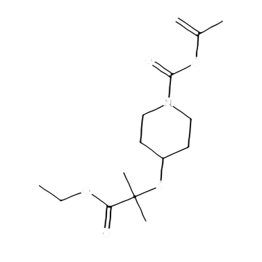 C=C(C)OC(=O)N1CCC(SC(C)(C)C(=O)OCC)CC1